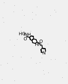 O=C(NO)c1ccc2c(c1)CCC(C(=O)NCc1ccncc1)C2